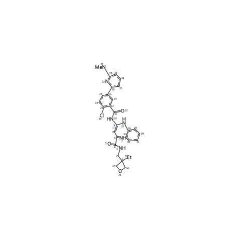 CCC1(CNC(=O)C(=N)/C=C(/NC(=O)c2cc(-c3cccc(NC)n3)ccc2Cl)Nc2ccccc2)COC1